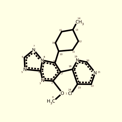 COc1nc2ncnn2c(C2CCC(C)CC2)c1-c1ncncc1Cl